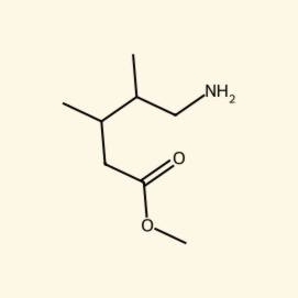 COC(=O)CC(C)C(C)CN